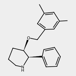 Cc1cc(C)cc(CO[C@@H]2CCCN[C@@H]2c2ccccc2)c1